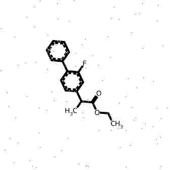 CCOC(=O)C(C)c1ccc(-c2ccccc2)c(F)c1